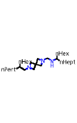 CCCCCCCC(CCCCCC)NCN1CC2(C1)CN(CC(CCCCC)CCCCCC)C2